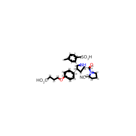 Cc1ccc(S(=O)(=O)O)cc1.N#C[C@@H]1CCCN1C(=O)[C@@H]1C[C@H](c2ccc(OCCCC(=O)O)cc2)CN1